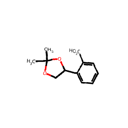 CC1(C)OCC(c2ccccc2C(=O)O)O1